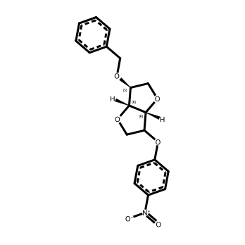 O=[N+]([O-])c1ccc(OC2CO[C@@H]3[C@@H](OCc4ccccc4)CO[C@H]23)cc1